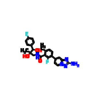 Cc1ccc(-c2ccn3nc(N)nc3c2)c(F)c1C(=O)NCC(C)(O)C(O)c1ccc(F)cc1